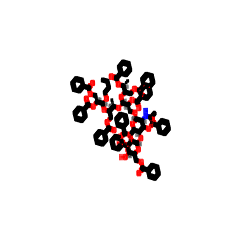 CCCCO[C@H](OC(COC(=O)c1ccccc1)[C@H](C)O[C@H](OC(COC(=O)c1ccccc1)[C@@H](C)OC(=O)c1ccccc1)[C@H](CO[C@@H]1OC(COC(=O)c2ccccc2)[C@@H](O[C@@H]2OC(COC(=O)c3ccccc3)[C@H](O)C(O)[C@@H]2OC(=O)c2ccccc2)C(OC(=O)c2ccccc2)[C@@H]1NC(C)=O)OC(=O)c1ccccc1)[C@H](COC(=O)c1ccccc1)OC(=O)c1ccccc1